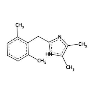 Cc1cccc(C)c1Cc1nc(C)c(C)[nH]1